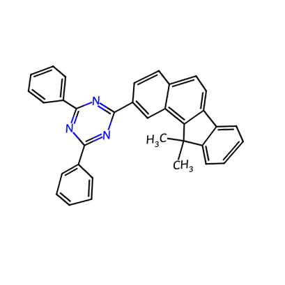 CC1(C)c2ccccc2-c2ccc3ccc(-c4nc(-c5ccccc5)nc(-c5ccccc5)n4)cc3c21